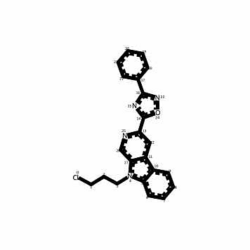 ClCCCn1c2ccccc2c2cc(-c3nc(-c4ccccc4)no3)ncc21